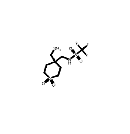 NCC1(CNS(=O)(=O)C(F)(F)F)CCS(=O)(=O)CC1